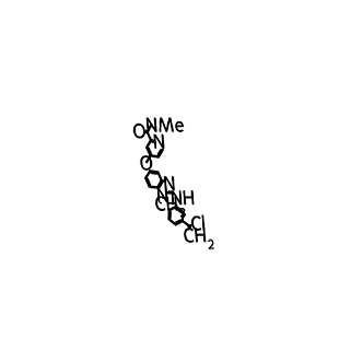 C=C(Cl)c1cccc(Nc2nc3cc(Oc4ccnc(C(=O)NC)c4)ccc3n2C)c1